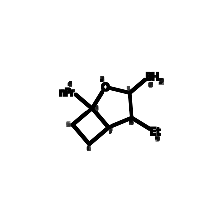 BC1OC2(CCC)CCC2C1CC